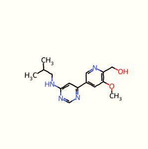 COc1cc(-c2cc(NCC(C)C)ncn2)cnc1CO